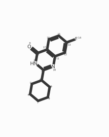 O=c1[nH]c(C2CCCCC2)nc2cc(F)ccc12